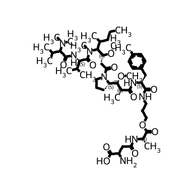 CCCC(C)C([C@@H](CC(=O)N1CCC[C@H]1[C@H](OC)[C@@H](C)C(=O)N[C@@H](Cc1ccc(C)cc1)C(=O)NCCCOC(=O)[C@H](C)NC(=O)CC(N)C(=O)O)OC)N(C)C(=O)[C@@H](NC(=O)C(C(C)C)N(C)C)C(C)C